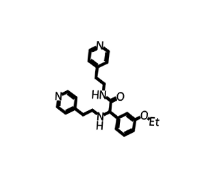 CCOc1cccc(C(NCCc2ccncc2)C(=O)NCCc2ccncc2)c1